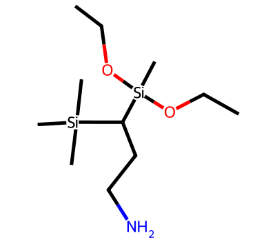 CCO[Si](C)(OCC)C(CCN)[Si](C)(C)C